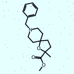 COC(=O)C1(C)CCC2(CCN(Cc3ccccc3)CC2)O1